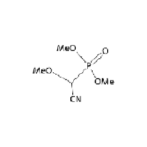 COC(C#N)P(=O)(OC)OC